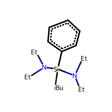 CCC(C)[Si](c1ccccc1)(N(CC)CC)N(CC)CC